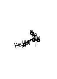 COc1cc(NC(=O)CCCc2ccc(-c3ccccc3)c(NC(=O)OC3CC[N+](C)(C)CC3)c2)ccc1C=O.[I-]